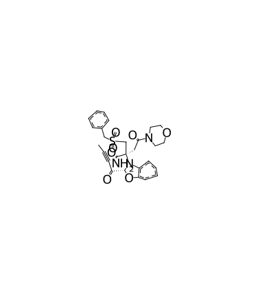 CC#CC(=O)[C@H]1Oc2ccccc2N1[C@](CC(=O)N1CCOCC1)(CS(=O)(=O)Cc1ccccc1)C(N)=O